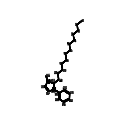 CCCCCCCCCCCCCC1N(C)C=CN1c1ccccc1